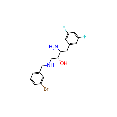 NC(Cc1cc(F)cc(F)c1)[C@H](O)CNCc1cccc(Br)c1